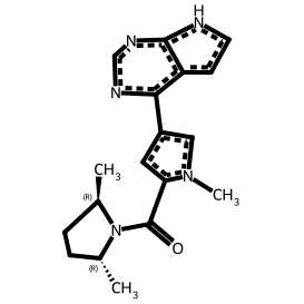 C[C@@H]1CC[C@@H](C)N1C(=O)c1cc(-c2ncnc3[nH]ccc23)cn1C